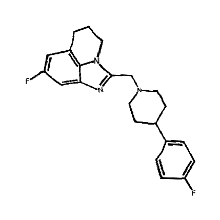 Fc1ccc(C2CCN(Cc3nc4cc(F)cc5c4n3CCC5)CC2)cc1